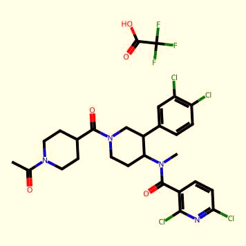 CC(=O)N1CCC(C(=O)N2CCC(N(C)C(=O)c3ccc(Cl)nc3Cl)C(c3ccc(Cl)c(Cl)c3)C2)CC1.O=C(O)C(F)(F)F